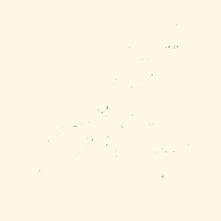 COc1ccc2c(c1)c(C)c(CC(C)CC(=O)O)n2Cc1ccc(SC)cc1